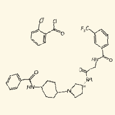 O=C(CNC(=O)c1cccc(C(F)(F)F)c1)N[C@@H]1CCN(C2CCC(NC(=O)c3ccccc3)CC2)C1.O=C(Cl)c1ccccc1Cl